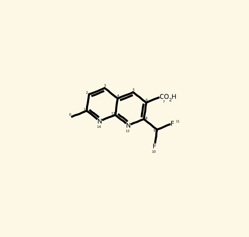 Cc1ccc2cc(C(=O)O)c(C(F)F)nc2n1